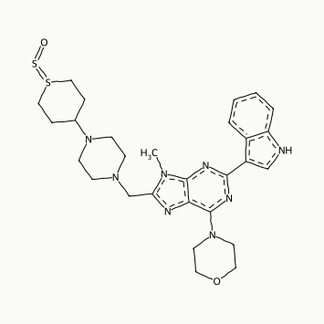 Cn1c(CN2CCN(C3CCS(=S=O)CC3)CC2)nc2c(N3CCOCC3)nc(-c3c[nH]c4ccccc34)nc21